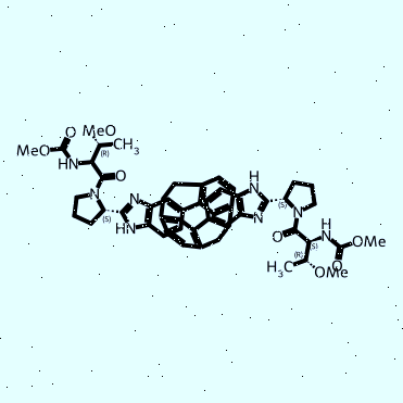 COC(=O)NC(C(=O)N1CCC[C@H]1c1nc2cc(-c3cc4ccc3CCc3ccc(c(-c5ccc6[nH]c([C@@H]7CCCN7C(=O)[C@@H](NC(=O)OC)[C@@H](C)OC)nc6c5)c3)CC4)ccc2[nH]1)[C@@H](C)OC